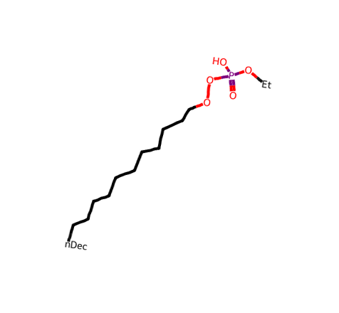 CCCCCCCCCCCCCCCCCCCCCOOP(=O)(O)OCC